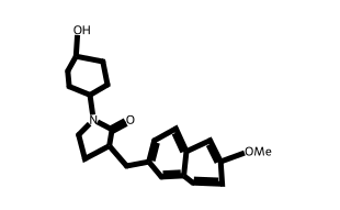 COc1ccc2cc(CC3CCN(C4CCC(O)CC4)C3=O)ccc2c1